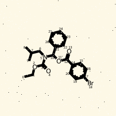 CCOC(=O)N(CC(C)C)C(OC(=O)c1ccc(Br)cc1)c1ccccc1